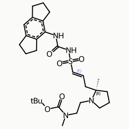 CN(CCN1CCC[C@]1(C)C/C=C/S(=O)(=O)NC(=O)Nc1c2c(cc3c1CCC3)CCC2)C(=O)OC(C)(C)C